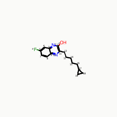 Oc1nc2cc(F)ccc2nc1CCCCCC1CC1